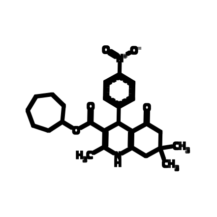 CC1=C(C(=O)OC2CCCCCC2)C(c2ccc([N+](=O)[O-])cc2)C2=C(CC(C)(C)CC2=O)N1